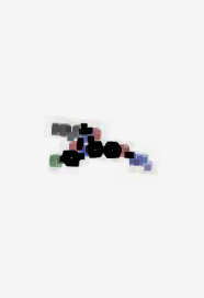 CC(C)(C(=O)O)N1CC(=O)N(Cc2ccc(Cl)cc2)c2ccc(-c3ccc(OCCN)cc3)cc2C1=O